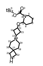 CC(C)(C)OC(=O)N1CCCCC1OC1CC(N2CCC3(CC2)CNC3)C1